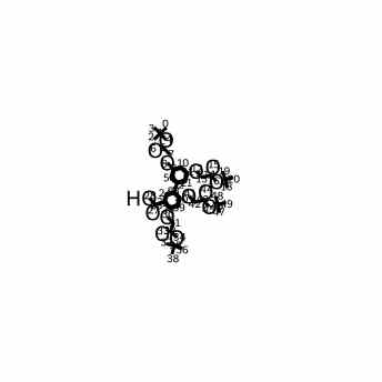 CC(C)(C)OC(=O)COc1cc(OCC(=O)OC(C)(C)C)cc(-c2cc(C(=O)O)c(OCC(=O)OC(C)(C)C)cc2OCC(=O)OC(C)(C)C)c1